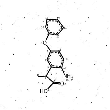 CC(C(=O)O)c1cc(Oc2ccccc2)ccc1N